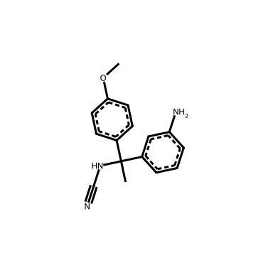 COc1ccc(C(C)(NC#N)c2cccc(N)c2)cc1